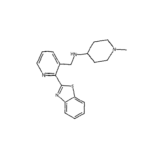 CN1CCC(NCc2cccnc2-c2nc3ccccc3s2)CC1